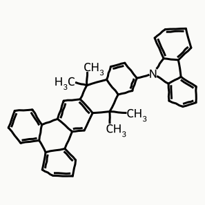 CC1(C)c2cc3c4ccccc4c4ccccc4c3cc2C(C)(C)C2C=C(n3c4ccccc4c4ccccc43)C=CC21